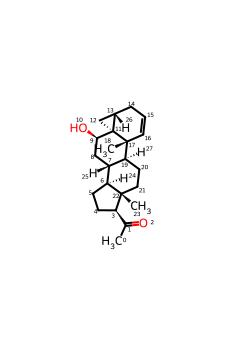 CC(=O)[C@H]1CC[C@H]2[C@@H]3C[C@@H](O)[C@@]45C[C@@H]4CC=C[C@]5(C)[C@H]3CC[C@]12C